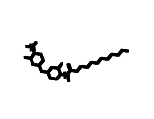 C=C(CCCCCCCCCCC)N(C)C1CCC(CC2CCC(N(C)C)C(C)C2)CC1C